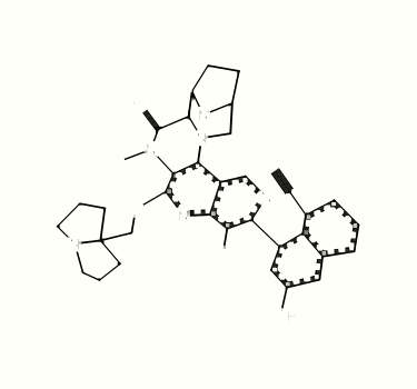 C#Cc1cccc2cc(O)cc(-c3ncc4c5c(c(OCC67CCCN6CCC7)nc4c3F)N(C)C(=O)C3C4CCC(CN53)N4)c12